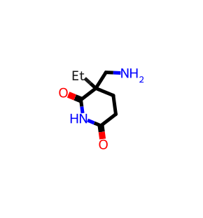 CCC1(CN)CCC(=O)NC1=O